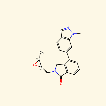 Cn1ncc2ccc(-c3cccc4c3CN(C[C@H]3O[C@@H]3C#N)C4=O)cc21